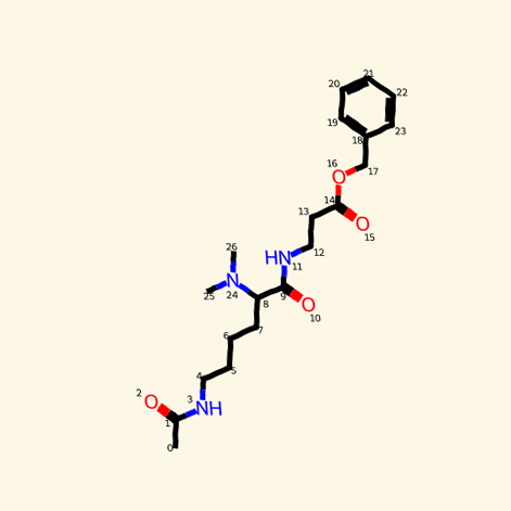 CC(=O)NCCCCC(C(=O)NCCC(=O)OCc1ccccc1)N(C)C